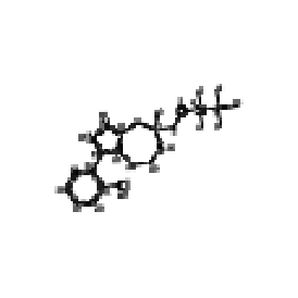 CC1(CO[Si](C)(C)C(C)(C)C)Cc2nnc(-c3ccccc3Cl)n2CCS1